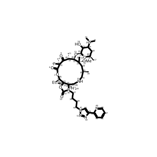 CC[C@H]1OC(=O)[C@@](C)(F)C(=O)[C@H](C)[C@@H](O[C@@H]2O[C@H](C)CC(N(C)C)C2O)[C@](C)(OC)C[C@@H](C)CN[C@H](C)[C@H]2N(CCCCn3cc(-c4ccccn4)nn3)C(=O)O[C@]12C